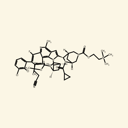 Cc1nc2c(F)c(-c3cccc(Cl)c3Cl)c(CCC#N)cc2c2c1cc([C@H]1[C@H]3C[C@H](CN(C(=O)OCC[Si](C)(C)C)C3)N1C(=O)C1CC1)n2[C@H]1[C@@H]2C[C@H]1N(C(=O)OC(C)(C)C)C2